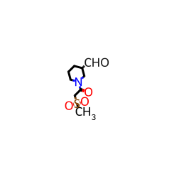 CS(=O)(=O)CC(=O)N1CCCC(C=O)C1